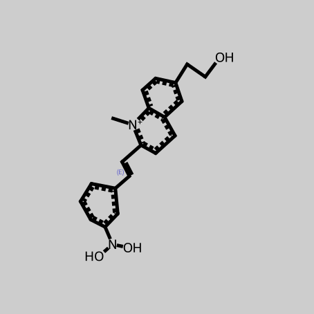 C[n+]1c(/C=C/c2cccc(N(O)O)c2)ccc2cc(CCO)ccc21